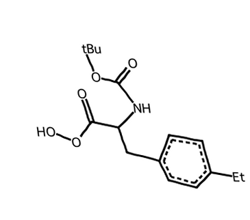 CCc1ccc(CC(NC(=O)OC(C)(C)C)C(=O)OO)cc1